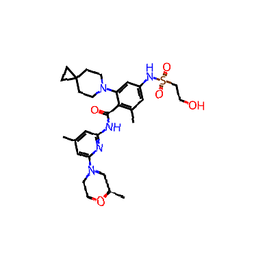 Cc1cc(NC(=O)c2c(C)cc(NS(=O)(=O)CCO)cc2N2CCC3(CC2)CC3)nc(N2CCO[C@H](C)C2)c1